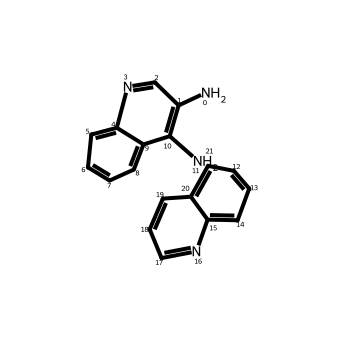 Nc1cnc2ccccc2c1N.c1ccc2ncccc2c1